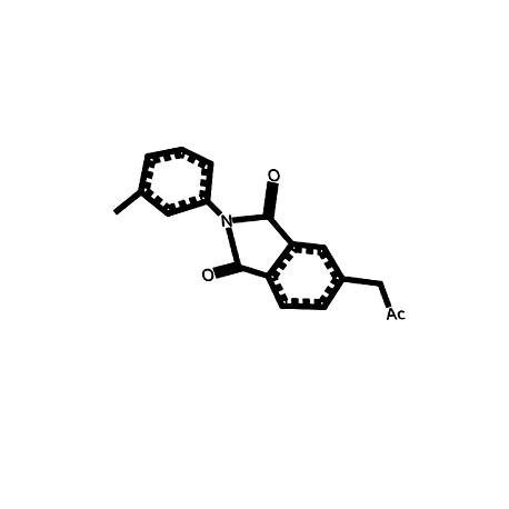 CC(=O)Cc1ccc2c(c1)C(=O)N(c1cccc(C)c1)C2=O